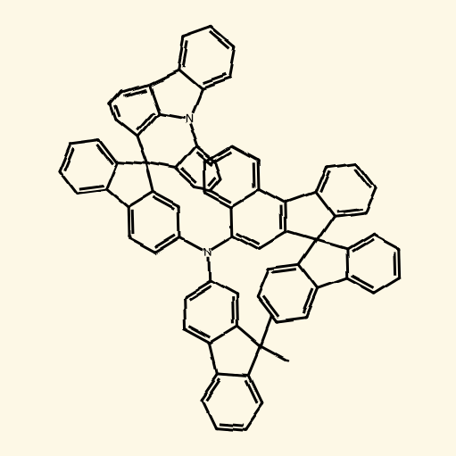 CC1(C)c2ccccc2-c2ccc(N(c3ccc4c(c3)C3(c5ccccc5-4)c4ccccc4-n4c5ccccc5c5cccc3c54)c3cc4c(c5ccccc35)-c3ccccc3C43c4ccccc4-c4ccccc43)cc21